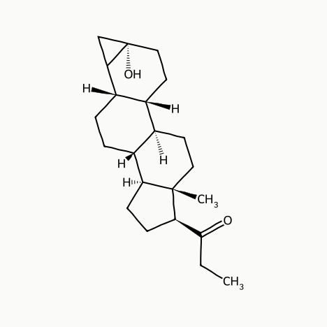 CCC(=O)[C@H]1CC[C@H]2[C@@H]3CC[C@@H]4C5C[C@@]5(O)CC[C@@H]4[C@H]3CC[C@]12C